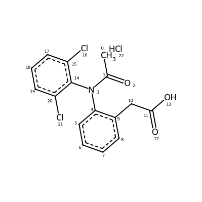 CC(=O)N(c1ccccc1CC(=O)O)c1c(Cl)cccc1Cl.Cl